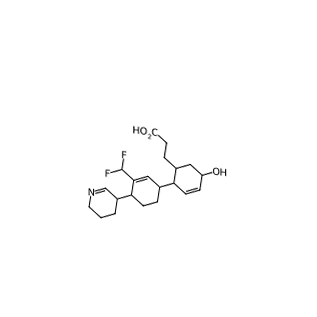 O=C(O)CCC1CC(O)C=CC1C1C=C(C(F)F)C(C2C=NCCC2)CC1